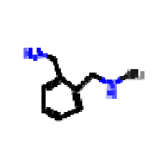 CCC(C)NCc1ccccc1CN